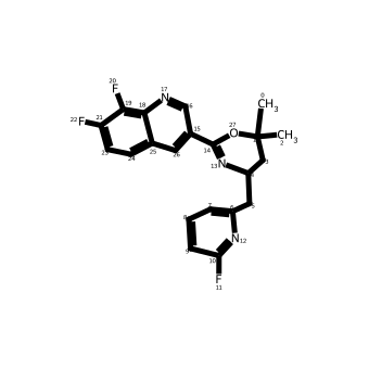 CC1(C)CC(Cc2cccc(F)n2)N=C(c2cnc3c(F)c(F)ccc3c2)O1